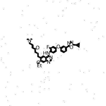 CCOc1cc2ncnc(Nc3ccc(Oc4cccc(-c5nnc(C6CC6)o5)c4)cc3F)c2cc1CCCC(=O)/C=C/CN(C)C